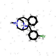 CN1CC2Cc3ccccc3CC1CN2Cc1cccc(Br)c1